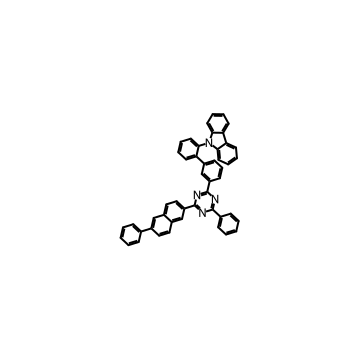 c1ccc(-c2ccc3cc(-c4nc(-c5ccccc5)nc(-c5cccc(-c6ccccc6-n6c7ccccc7c7ccccc76)c5)n4)ccc3c2)cc1